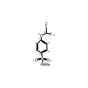 [CH2]NS(=O)(=O)c1ccc(OC(F)F)cc1